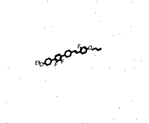 C=CCCOc1ccc(/C=C/C2CCC(c3ccc(C4CCC(OCC)CC4)c(F)c3F)CC2)c(F)c1